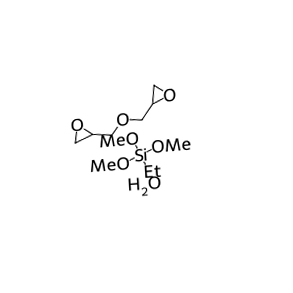 C(OCC1CO1)C1CO1.CC[Si](OC)(OC)OC.O